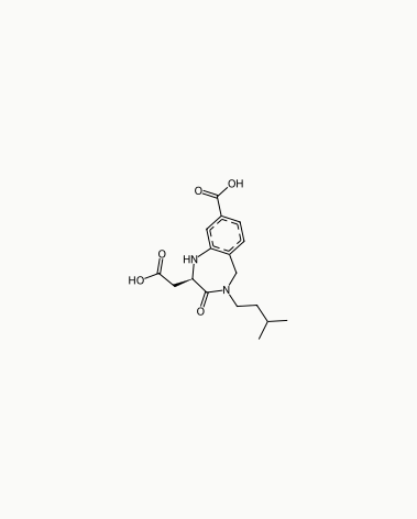 CC(C)CCN1Cc2ccc(C(=O)O)cc2N[C@H](CC(=O)O)C1=O